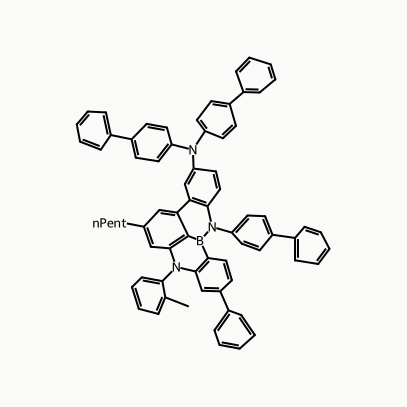 CCCCCc1cc2c3c(c1)N(c1ccccc1C)c1cc(-c4ccccc4)ccc1B3N(c1ccc(-c3ccccc3)cc1)c1ccc(N(c3ccc(-c4ccccc4)cc3)c3ccc(-c4ccccc4)cc3)cc1-2